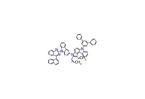 C=Cc1c(/C=C\C)n(-c2ccc3c(c2)c2ccccc2n3-c2nc(-c3cccc4ccccc34)c3ccccc3n2)c2ccc3c(c4ccccc4n3-c3cc(-c4ccccc4)cc(-c4ccccc4)c3)c12